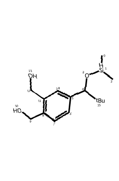 C[SiH](C)OC(c1ccc(CO)c(CO)c1)C(C)(C)C